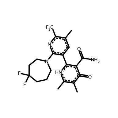 Cc1cc(-c2[nH]c(C)c(C)c(=O)c2C(N)=O)c(N2CCCC(F)(F)CC2)nc1C(F)(F)F